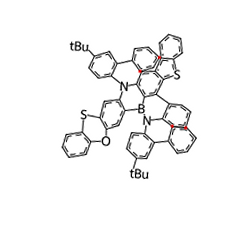 CC(C)(C)c1ccc(N2B3c4cc5c(cc4N(c4ccc(C(C)(C)C)cc4-c4ccccc4)c4cc6c(sc7ccccc76)c(c43)-c3ccccc32)Sc2ccccc2O5)c(-c2ccccc2)c1